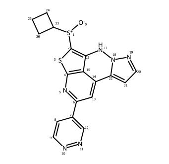 [O-][S+](c1sc2nc(-c3ccnnc3)cc3c2c1[nH]n1nccc31)C1CCC1